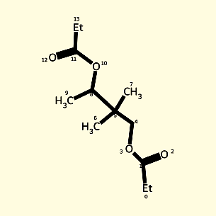 CCC(=O)OCC(C)(C)C(C)OC(=O)CC